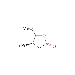 CCC[C@@H]1CC(=O)OC1OC